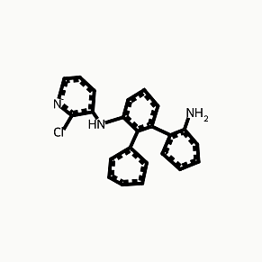 Nc1ccccc1-c1cccc(Nc2cccnc2Cl)c1-c1ccccc1